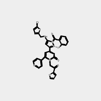 Nc1ccccc1C(=O)n1nc(-c2cc(-c3ccncc3)n(CC(=O)c3ccco3)c(=O)c2)cc1NCc1ccc(Cl)s1